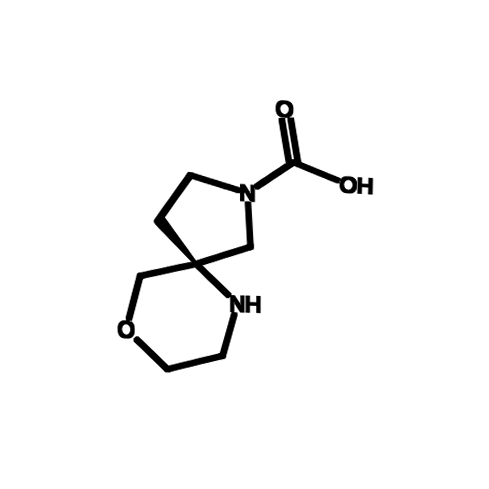 O=C(O)N1CC[C@@]2(COCCN2)C1